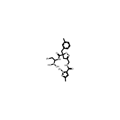 Cc1cccc(CC2(C(=O)NC(CC(C)C)B(O)O)CC(CNC(=O)c3cc(C)nn3C(C)C)=NO2)c1